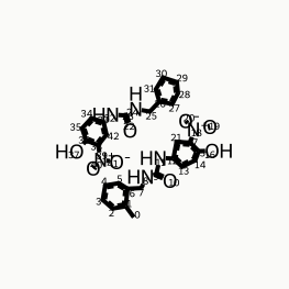 Cc1ccccc1CNC(=O)Nc1ccc(O)c([N+](=O)[O-])c1.O=C(NCc1ccccc1)Nc1ccc(O)c([N+](=O)[O-])c1